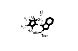 CCCCP(CCCC)C1=Cc2ccccc2[CH]1[Ti+2][C]1=C(C)C(C)=C(C)C1(C)C.[Cl-].[Cl-]